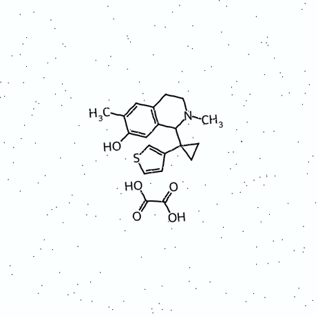 Cc1cc2c(cc1O)C(C1(c3ccsc3)CC1)N(C)CC2.O=C(O)C(=O)O